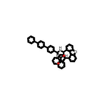 c1ccc(-c2ccc(-c3ccc(C4=NC(c5ccccc5)NC(c5cccc6oc7cccc(-c8ccc9ccccc9c8)c7c56)N4)cc3)cc2)cc1